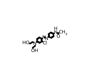 CC(=O)Nc1ccc(N=Nc2ccc(N(CCO)CCO)cc2Cl)cc1